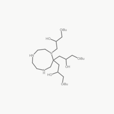 CC(C)COCC(O)CN1CCNCCNCC1(CC(O)COCC(C)C)CC(O)COCC(C)C